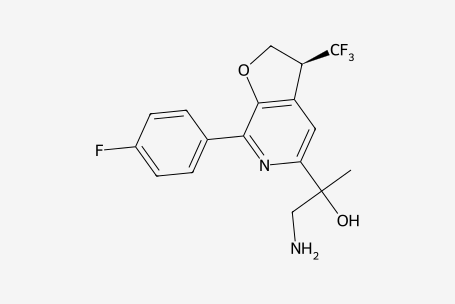 CC(O)(CN)c1cc2c(c(-c3ccc(F)cc3)n1)OC[C@H]2C(F)(F)F